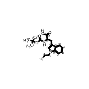 CC(C)(C)OC(=O)NC(Cc1cn(CCF)c2ccccc12)C(=O)O